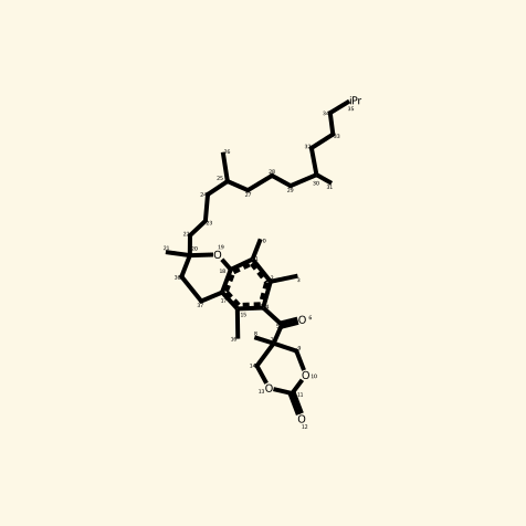 Cc1c(C)c(C(=O)C2(C)COC(=O)OC2)c(C)c2c1OC(C)(CCCC(C)CCCC(C)CCCC(C)C)CC2